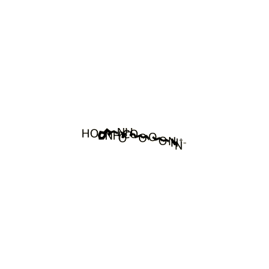 [N-]=[N+]=NCCOCCOCCOCCOCCC(=O)NCCc1cc2cc(O)ccc2[nH]1